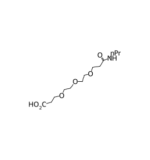 CCCNC(=O)CCOCCOCCOCCC(=O)O